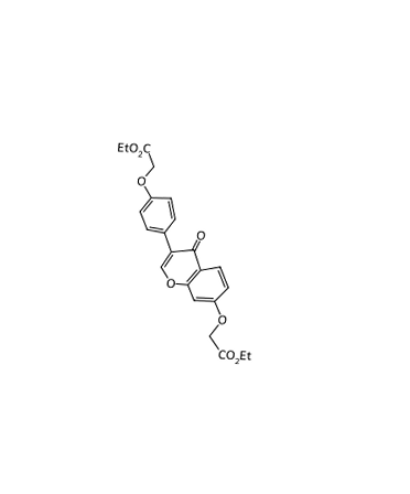 CCOC(=O)COc1ccc(-c2coc3cc(OCC(=O)OCC)ccc3c2=O)cc1